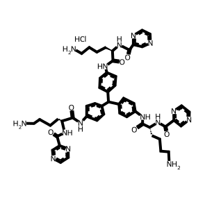 Cl.NCCCC[C@@H](NC(=O)c1cnccn1)C(=O)Nc1ccc(C(c2ccc(NC(=O)[C@@H](CCCCN)NC(=O)c3cnccn3)cc2)c2ccc(NC(=O)[C@@H](CCCCN)NC(=O)c3cnccn3)cc2)cc1